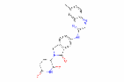 Cc1ccc2ncc(Nc3ccc4c(c3)C(=O)N(C3CCC(=O)NC3=O)C4)nc2c1